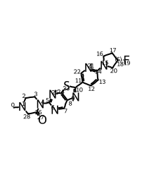 CN1CCN(c2ncc3nc(-c4ccc(N5CC[C@H](F)C5)nc4)sc3n2)C(=O)C1